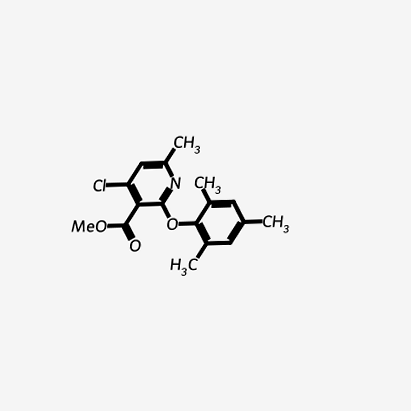 COC(=O)c1c(Cl)cc(C)nc1Oc1c(C)cc(C)cc1C